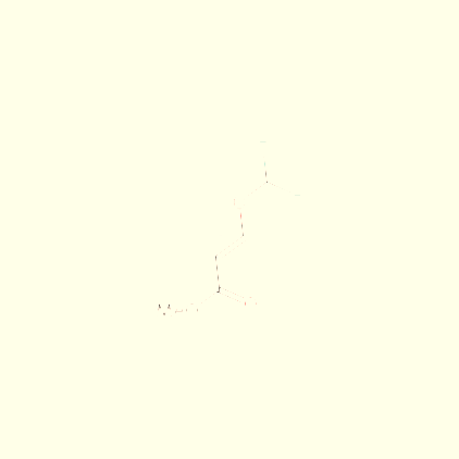 COC(=O)/C=C/OC(F)F